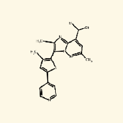 CCC(CC)c1cc(C)nn2c(-c3sc(-c4ccncc4)cc3C)c(C)nc12